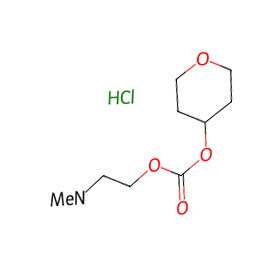 CNCCOC(=O)OC1CCOCC1.Cl